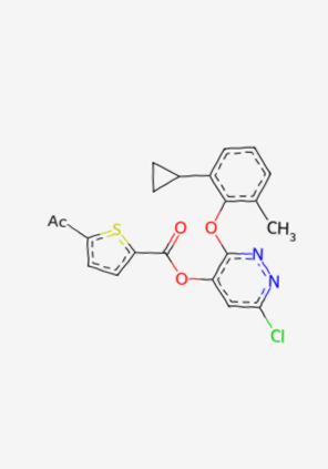 CC(=O)c1ccc(C(=O)Oc2cc(Cl)nnc2Oc2c(C)cccc2C2CC2)s1